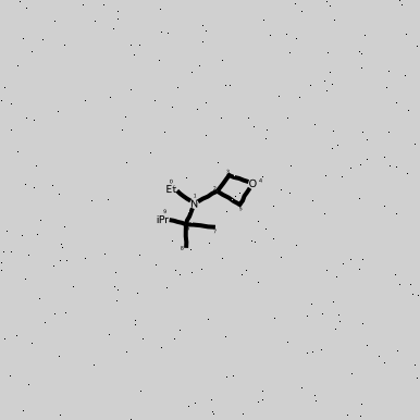 CCN(C1COC1)C(C)(C)C(C)C